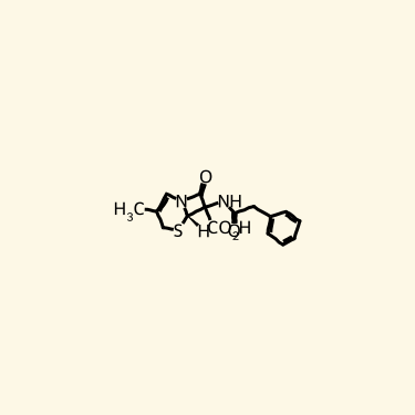 CC1=CN2C(=O)C(NC(=O)Cc3ccccc3)(C(=O)O)[C@@H]2SC1